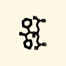 CCN(CC)CCOCCN(CC)CC.O=C(c1ccccc1)C(O)c1ccccc1